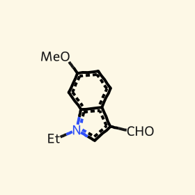 CCn1cc(C=O)c2ccc(OC)cc21